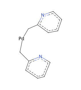 c1ccc([CH2][Pd][CH2]c2ccccn2)nc1